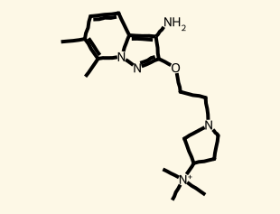 Cc1ccc2c(N)c(OCCN3CCC([N+](C)(C)C)C3)nn2c1C